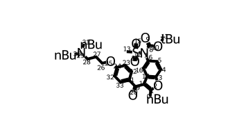 CCCCc1oc2ccc(N(C(=O)OC(C)(C)C)S(C)(=O)=O)cc2c1C(=O)c1ccc(OCCCN(CCCC)CCCC)cc1